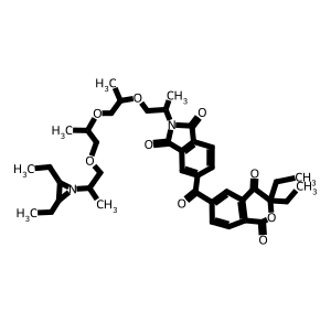 CCC1C(CC)N1C(C)COCC(C)OCC(C)OCC(C)N1C(=O)c2ccc(C(=O)c3ccc4c(c3)C(=O)C(CC)(CC)OC4=O)cc2C1=O